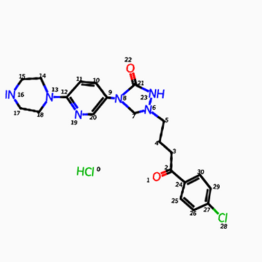 Cl.O=C(CCCN1CN(c2ccc(N3CCNCC3)nc2)C(=O)N1)c1ccc(Cl)cc1